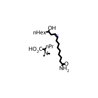 CCCC(C(=O)O)N(C)C.CCCCCCC(O)C/C=C\CCCCCCCC(N)=O